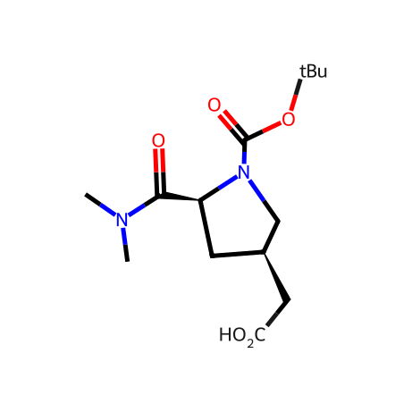 CN(C)C(=O)[C@@H]1C[C@H](CC(=O)O)CN1C(=O)OC(C)(C)C